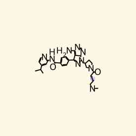 CC(C)c1ccnc(NC(=O)c2ccc(-c3nn(C4CCN(C(=O)/C=C/CN(C)C)C4)c4ncnc(N)c34)cc2)c1